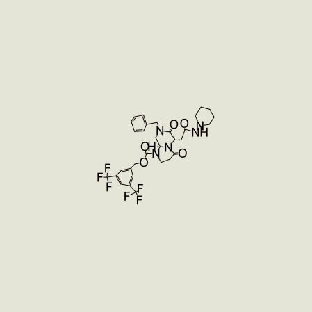 O=C(C[C@H]1C(=O)N(Cc2ccccc2)C[C@@H]2N(C(=O)OCc3cc(C(F)(F)F)cc(C(F)(F)F)c3)CCC(=O)N21)NN1CCCCC1